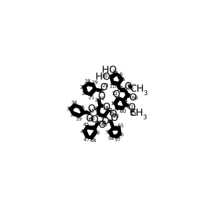 COc1c(-c2ccc(O)c(O)c2)oc2cc(O[C@@H]3OC(COC(=O)c4ccccc4)[C@@H](OC(=O)c4ccccc4)C(OC(=O)c4ccccc4)[C@@H]3OC(=O)c3ccccc3)cc(OC)c2c1=O